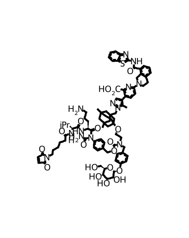 Cc1c(-c2ccc(N3CCc4cccc(C(=O)Nc5nc6ccccc6s5)c4C3)nc2C(=O)O)cnn1CC12CC3(C)CC(C)(C1)CC(OCCN(Cc1ccc(O[C@@H]4O[C@H](CO)[C@@H](O)[C@H](O)[C@H]4O)cc1)C(=O)OCc1ccc(N(C(N)=O)C(=O)[C@H](CCCN)NC(=O)[C@@H](NC(=O)CCCCCN4C(=O)C=CC4=O)C(C)C)cc1)(C3)C2